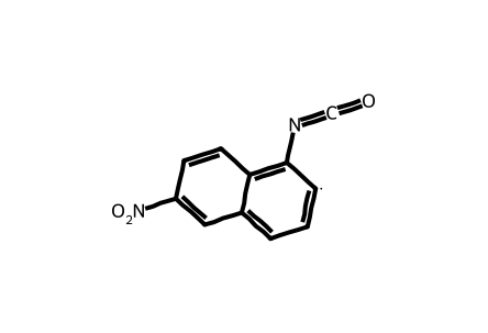 O=C=Nc1[c]ccc2cc([N+](=O)[O-])ccc12